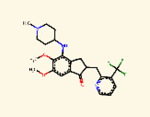 COc1cc2c(c(NC3CCN(C)CC3)c1OC)CC(Cc1ncccc1C(F)(F)F)C2=O